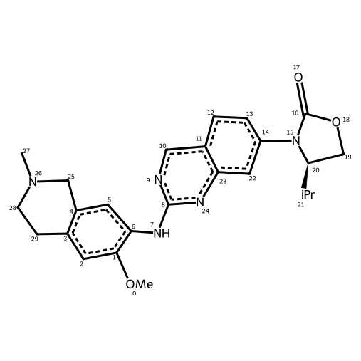 COc1cc2c(cc1Nc1ncc3ccc(N4C(=O)OC[C@H]4C(C)C)cc3n1)CN(C)CC2